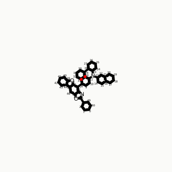 c1ccc(-c2nc3c(-c4ccc(N(c5ccc6ccccc6c5)c5ccccc5-c5ccccc5)cc4)c4oc5ccccc5c4cc3o2)cc1